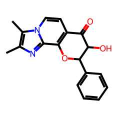 Cc1nc2c3c(ccn2c1C)C(=O)C(O)C(c1ccccc1)O3